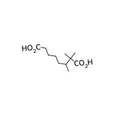 CC(CCCCC(=O)O)C(C)(C)C(=O)O